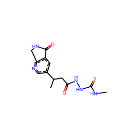 CNC(=S)NNC(=O)CC(C)c1cnc2c(c1)C(=O)NC2